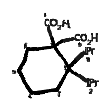 CC(C)C1(C(C)C)CCCCC1(C(=O)O)C(=O)O